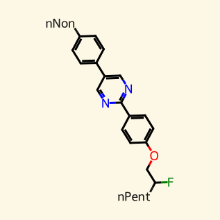 CCCCCCCCCc1ccc(-c2cnc(-c3ccc(OCC(F)CCCCC)cc3)nc2)cc1